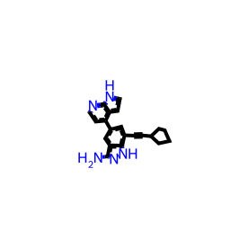 Nc1n[nH]c2c(C#CC3CCCC3)cc(-c3ccnc4[nH]ccc34)cc12